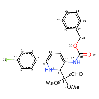 COC(C=O)(OC)C1NC(c2ccc(F)cc2)=CC=C1NC(=O)OCc1ccccc1